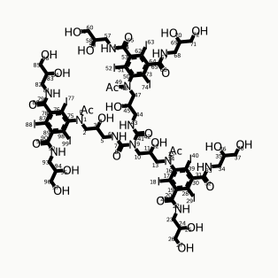 CC(=O)N(CC(O)CNC(=O)N(CC(O)CN(C(C)=O)c1c(I)c(C(=O)NCC(O)CO)c(I)c(C(=O)NCC(O)CO)c1I)C(=O)NCC(O)CN(C(C)=O)c1c(I)c(C(=O)NCC(O)CO)c(I)c(C(=O)NCC(O)CO)c1I)c1c(I)c(C(=O)NCC(O)CO)c(I)c(C(=O)NCC(O)CO)c1I